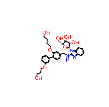 OCCCCOc1cc(CNc2nc3ccccc3n2[C@@H]2O[C@H](CO)[C@@H](O)[C@H]2O)ccc1-c1cccc(OCCCO)c1